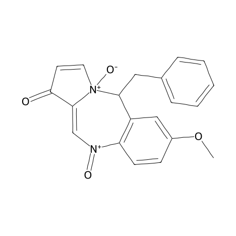 COc1ccc2c(c1)C(Cc1ccccc1)[N+]1([O-])C=CC(=O)C1=C[N+]2=O